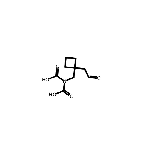 O=CCC1(CN(C(=O)O)C(=O)O)CCC1